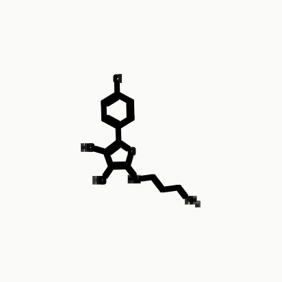 Oc1c(NCCCP)oc(-c2ccc(Cl)cc2)c1O